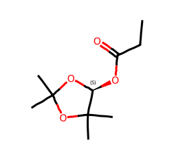 CCC(=O)O[C@@H]1OC(C)(C)OC1(C)C